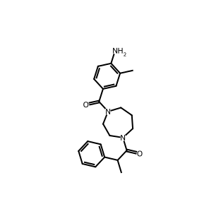 Cc1cc(C(=O)N2CCCN(C(=O)C(C)c3ccccc3)CC2)ccc1N